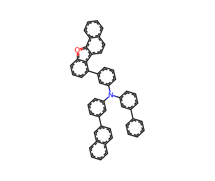 c1ccc(-c2cccc(N(c3cccc(-c4ccc5ccccc5c4)c3)c3cccc(-c4cccc5oc6c7ccccc7ccc6c45)c3)c2)cc1